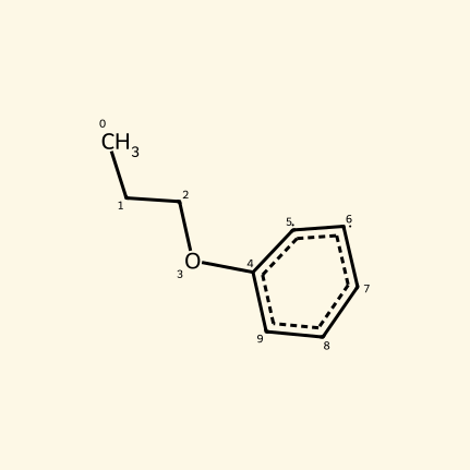 CCCOc1[c][c]ccc1